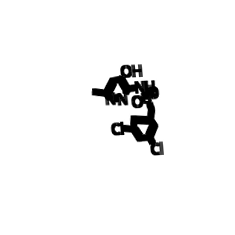 Cc1cc(O)c(NS(=O)(=O)Cc2cc(Cl)cc(Cl)c2)nn1